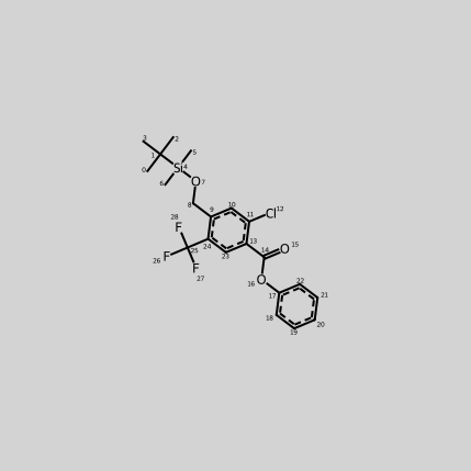 CC(C)(C)[Si](C)(C)OCc1cc(Cl)c(C(=O)Oc2ccccc2)cc1C(F)(F)F